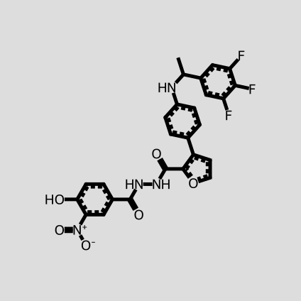 CC(Nc1ccc(-c2ccoc2C(=O)NNC(=O)c2ccc(O)c([N+](=O)[O-])c2)cc1)c1cc(F)c(F)c(F)c1